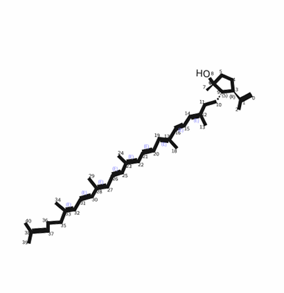 C=C(C)[C@@H]1CC[C@@](C)(O)[C@H]1CC/C(C)=C/C=C/C(C)=C/C=C/C=C(C)/C=C/C=C(C)/C=C/C=C(\C)CCC=C(C)C